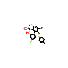 Cc1ccc(SCc2c(C(C)C)cc(C(C)C)c(CCO)c2-c2ccc(F)cc2O)cc1